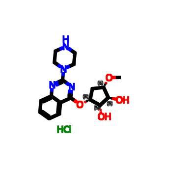 CO[C@H]1C[C@@H](Oc2nc(N3CCNCC3)nc3ccccc23)[C@@H](O)[C@@H]1O.Cl